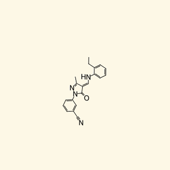 CCc1ccccc1NC=C1C(=O)N(c2cccc(C#N)c2)N=C1C